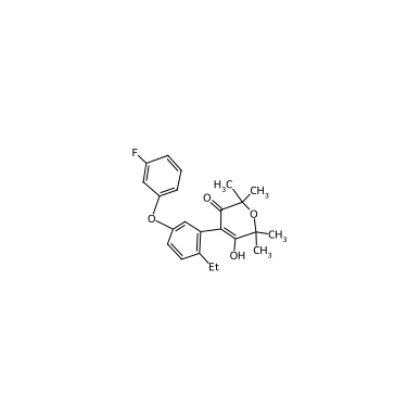 CCc1ccc(Oc2cccc(F)c2)cc1C1=C(O)C(C)(C)OC(C)(C)C1=O